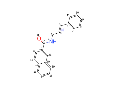 O=C(NC/C=C/c1ccccc1)c1ccc2ccccc2c1